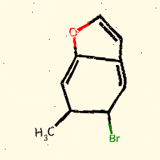 CC1C=c2occc2=CC1Br